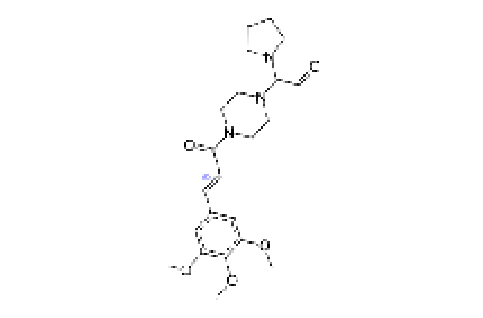 COc1cc(/C=C/C(=O)N2CCN(C(C=O)N3CCCC3)CC2)cc(OC)c1OC